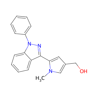 Cn1cc(CO)cc1-c1nn(-c2ccccc2)c2ccccc12